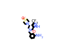 Nc1cccc(CN(CCN2CC[S+]([O-])CC2)C(=O)c2cc(C(F)(F)F)n[nH]2)c1